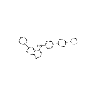 c1ccc(-c2ccc3nccc(Nc4ccc(N5CCN(C6CCCC6)CC5)cc4)c3c2)cc1